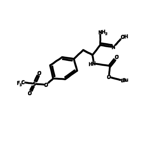 CC(C)(C)OC(=O)NC(Cc1ccc(OS(=O)(=O)C(F)(F)F)cc1)/C(N)=N/O